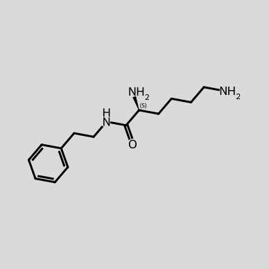 NCCCC[C@H](N)C(=O)NCCc1ccccc1